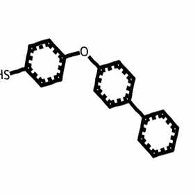 Sc1ccc(Oc2ccc(-c3ccccc3)cc2)cc1